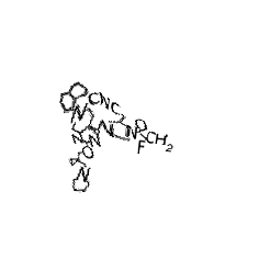 C=C(F)C(=O)N1CCN(c2nc(OCC3(CN4CCCC4)CC3)nc3c2CCN(c2cccc4cccc(Cl)c24)C3)CC1CC#N